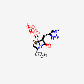 Cn1cc(C=C2C(=O)N3C(C(=O)O)=CS[C@H]23)nn1.O.O.O.O